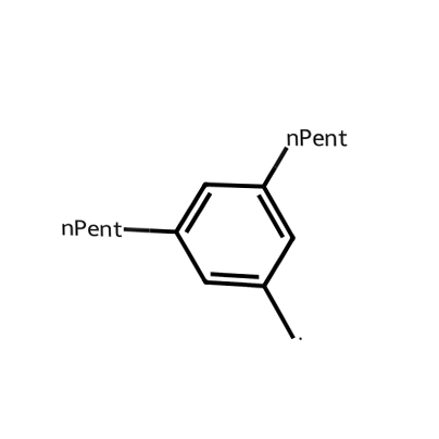 [CH2]c1cc(CCCCC)cc(CCCCC)c1